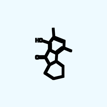 Cc1cc(C)c2c(c1O)C(=O)C1CCCCC21